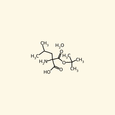 CC(C)CC(N)(C(=O)O)C(=O)OC(C)(C)C.O